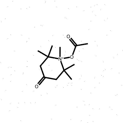 CC(=O)O[N+]1(C)C(C)(C)CC(=O)CC1(C)C